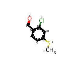 CSc1ccc(C=O)c(Cl)c1